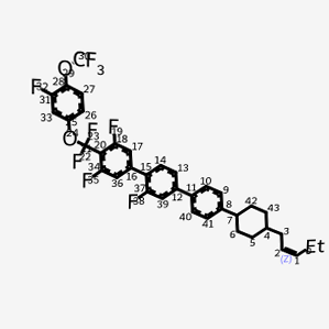 CC/C=C\CC1CCC(c2ccc(-c3ccc(-c4cc(F)c(C(F)(F)Oc5ccc(OC(F)(F)F)c(F)c5)c(F)c4)c(F)c3)cc2)CC1